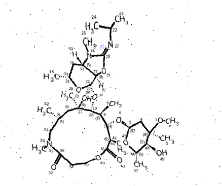 CO[C@]1(C)C[C@H](O[C@H]2[C@H](C)[C@@H](O[C@@H]3O[C@H](C)C[C@H]4[C@H]3O/C(=N/C(C)C)N4C)[C@](C)(O)C[C@@H](C)CN(C)C(=O)CCOC(=O)[C@@H]2C)O[C@@H](C)[C@@H]1O